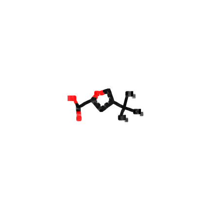 CC(C)(C)c1coc(C(=O)O)c1